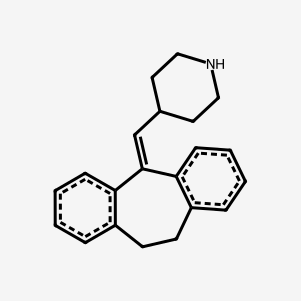 C(=C1c2ccccc2CCc2ccccc21)C1CCNCC1